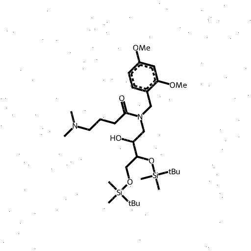 COc1ccc(CN(CC(O)C(CO[Si](C)(C)C(C)(C)C)O[Si](C)(C)C(C)(C)C)C(=O)CCCN(C)C)c(OC)c1